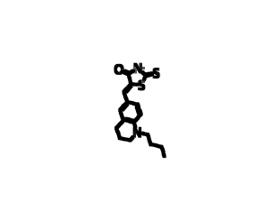 CCCCN1CCCc2cc(/C=C3\SC(=S)[N]C3=O)ccc21